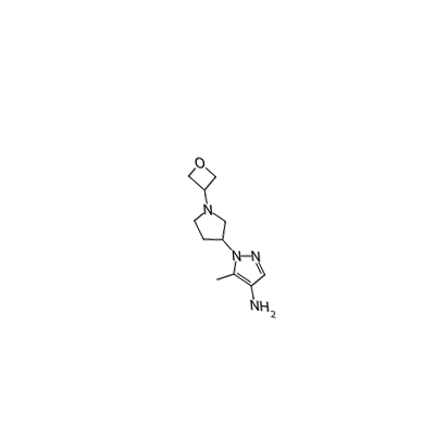 Cc1c(N)cnn1C1CCN(C2COC2)C1